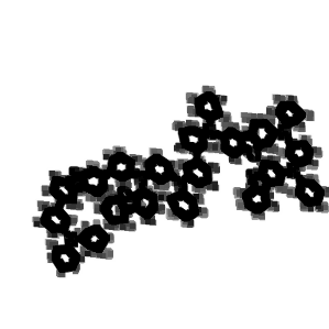 c1ccc(N(c2ccccc2)c2cccc(-c3ccc4sc5cc(-c6cccc(N(c7cccc(N(c8ccccc8)c8cccc(-c9cccc(N(c%10ccccc%10)c%10ccc%11oc%12cc(N(c%13ccccc%13)c%13cccc(N(c%14ccccc%14)c%14ccc%15sc%16ccccc%16c%15c%14)c%13)ccc%12c%11c%10)c9)c8)c7)c7cccc8c7oc7ccccc78)c6)ccc5c4c3)c2)cc1